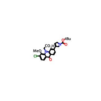 COc1c(Cl)ccc2c(=O)c3ccc(C4=CCN(C(=O)OC(C)(C)C)C4)cc3n(CC(=O)O)c12